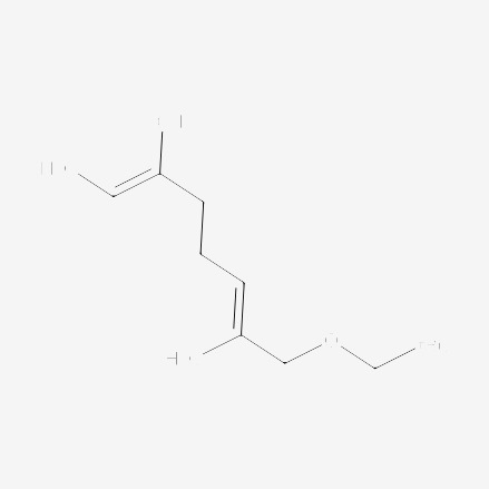 CC=C(C)CCC=C(C)CO[CH]C(C)(C)C